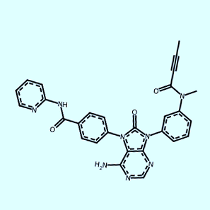 CC#CC(=O)N(C)c1cccc(-n2c(=O)n(-c3ccc(C(=O)Nc4ccccn4)cc3)c3c(N)ncnc32)c1